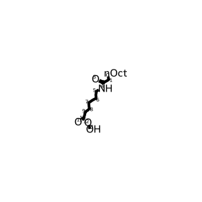 CCCCCCCCCC(=O)NCCCCCC(=O)OO